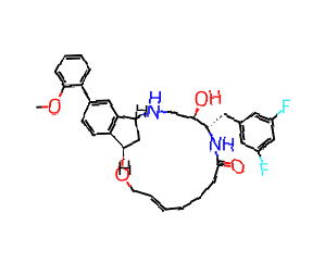 COc1ccccc1-c1ccc2c(c1)[C@@H]1C[C@H]2OC/C=C/CCCC(=O)N[C@@H](Cc2cc(F)cc(F)c2)[C@H](O)CN1